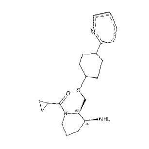 N[C@H]1CCCN(C(=O)C2CC2)[C@H]1COC1CCC(c2ccccn2)CC1